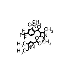 CCn1nc(C(=O)Oc2c(C(=O)c3ccc(C(F)(F)F)cc3S(C)(=O)=O)c(C)nn2C)cc1C